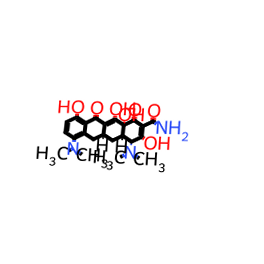 CN(C)c1ccc(O)c2c1C[C@@H]1C[C@@H]3[C@@H](N(C)C)C(O)=C(C(N)=O)C(=O)[C@@]3(O)C(O)=C1C2=O